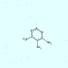 Bc1bbbc(B)c1B